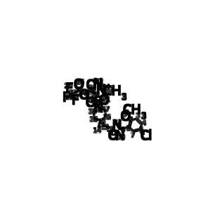 COc1ccc(Cl)cc1-c1noc(C2CC23CCN(S(=O)(=O)c2c(OC(=O)C(F)(F)F)on[n+]2C)CC3)n1